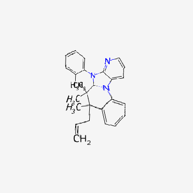 C=CCC1(C)c2ccccc2N2c3cccnc3N(c3ccccc3C)C2C1(C)C